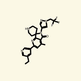 CCc1cncc(-c2cc(C)c3c(n2)C2(CCNCC2)N(c2cnn(CC(F)(F)F)c2)C3=O)c1